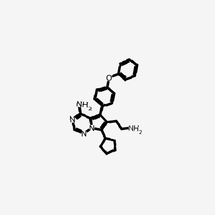 NCCc1c(-c2ccc(Oc3ccccc3)cc2)c2c(N)ncnn2c1C1CCCC1